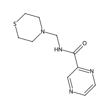 O=C(NCN1CCSCC1)c1cnccn1